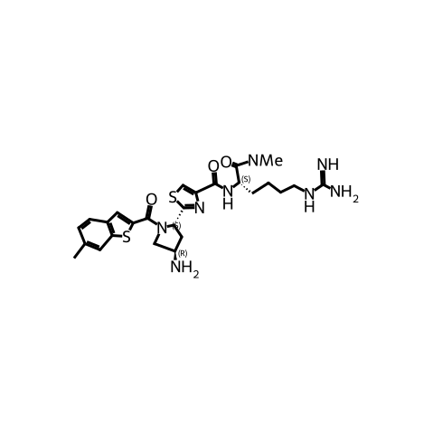 CNC(=O)[C@H](CCCCNC(=N)N)NC(=O)c1csc([C@@H]2C[C@@H](N)CN2C(=O)c2cc3ccc(C)cc3s2)n1